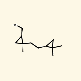 CC1(C)C[C@@H]1CC[C@@]1(C)C[C@H]1CO